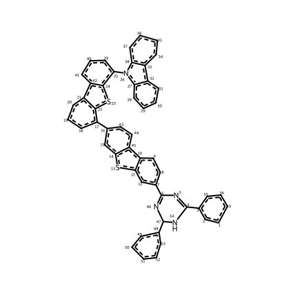 c1ccc(C2=NC(c3ccc4c(c3)sc3cc(-c5cccc6c5sc5c(-n7c8ccccc8c8ccccc87)cccc56)ccc34)=NC(c3ccccc3)N2)cc1